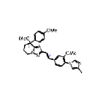 COc1ccc([C@@]2(OC)CCCn3nc(/C=C/c4ccc(-n5cnc(C)c5)c(OC)c4)nc32)cc1